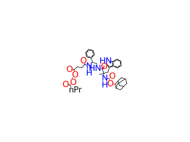 CCCC(=O)OCOC(=O)CCC(=O)NC(CNC(=O)C(C)(Cc1c[nH]c2ccccc12)NC(=O)OC1C2CC3CC(C2)CC1C3)c1ccccc1